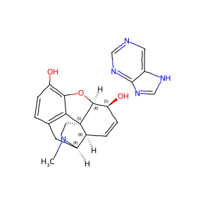 CN1CC[C@]23c4c5ccc(O)c4O[C@H]2[C@@H](O)C=C[C@H]3[C@H]1C5.c1ncc2[nH]cnc2n1